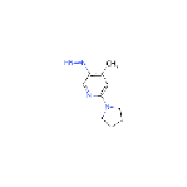 Cc1cc(N2CCCC2)ncc1N=N